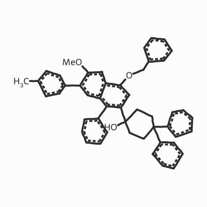 COc1cc2c(OCc3ccccc3)cc(C3(O)CCC(c4ccccc4)(c4ccccc4)CC3)c(-c3ccccc3)c2cc1-c1ccc(C)cc1